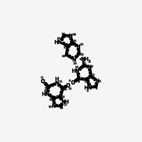 Nc1nc2nc[nH]c2c(=O)[nH]1.O=c1[nH]c(=O)c2[nH]cnc2[nH]1.c1ncc2[nH]cnc2n1